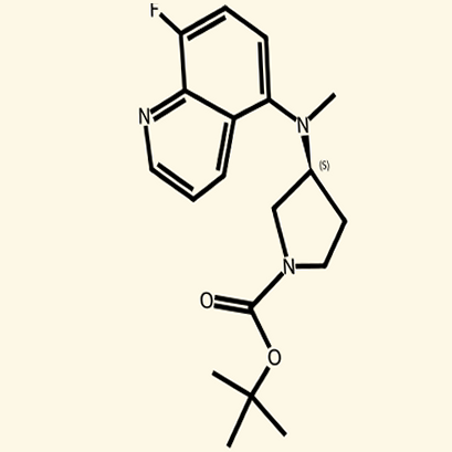 CN(c1ccc(F)c2ncccc12)[C@H]1CCN(C(=O)OC(C)(C)C)C1